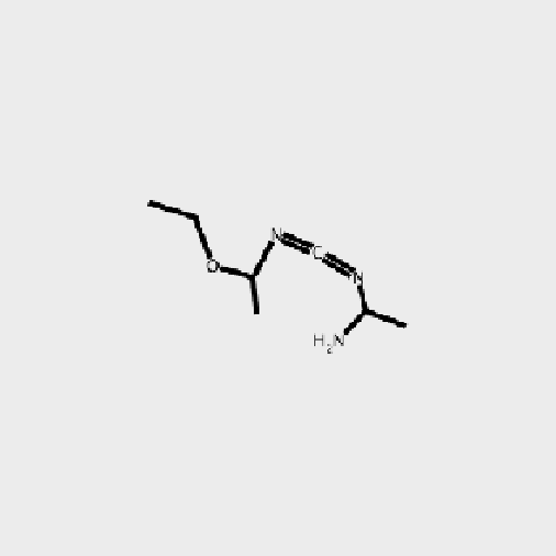 CCOC(C)N=C=NC(C)N